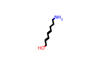 NCCC/C=C/C=C/CO